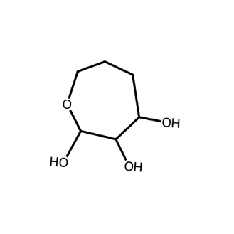 OC1CCCOC(O)C1O